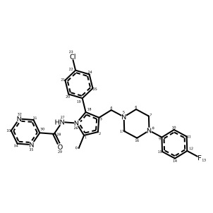 Cc1cc(CN2CCN(c3ccc(F)cc3)CC2)c(-c2ccc(Cl)cc2)n1NC(=O)c1cnccn1